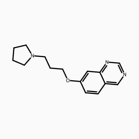 c1ncc2ccc(OCCCN3CCCC3)cc2n1